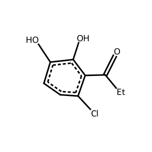 CCC(=O)c1c(Cl)ccc(O)c1O